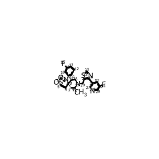 C[C@H]1C[C@@]2(C=CS(=O)(=O)N2c2cccc(F)c2)CCN1Cc1scnc1-c1cncc(F)c1